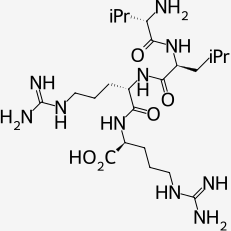 CC(C)C[C@H](NC(=O)[C@@H](N)C(C)C)C(=O)N[C@@H](CCCNC(=N)N)C(=O)N[C@@H](CCCNC(=N)N)C(=O)O